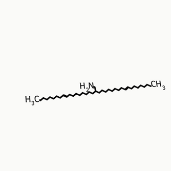 CCCCCCCCC=CCCCCCCCCC(CN)CCCCCCCCC=CCCCCCCCC